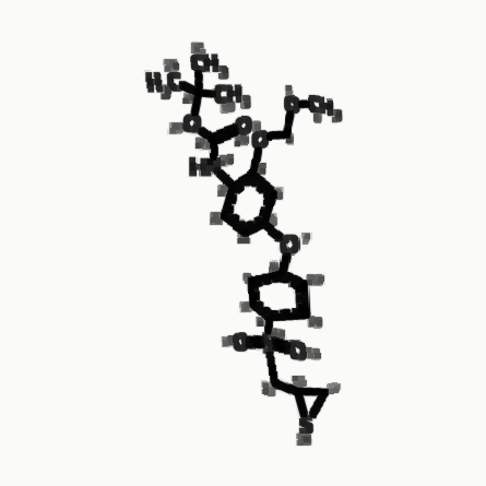 COCOc1cc(Oc2ccc(S(=O)(=O)CC3CS3)cc2)ccc1NC(=O)OC(C)(C)C